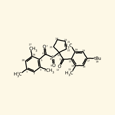 Cc1cc(C)c(C(=O)[P](=O)C2(C(=O)c3c(C)cc(C(C)(C)C)cc3C)CCCC2)c(C)c1